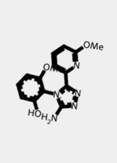 COC1=NC(c2nnc(N)n2-c2c(O)cccc2OC)=C=C=C1